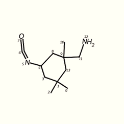 CC1(C)CC(N=C=O)CC(C)(CN)C1